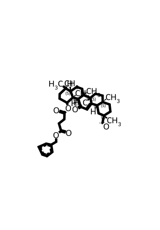 CC1(C)CCC(OC(=O)CCC(=O)OCc2ccccc2)[C@]2(C)[C@H]3C(=O)C=C4[C@@H]5C[C@@](C)([C]=O)CC[C@]5(C)CC[C@@]4(C)[C@]3(C)CC[C@@H]12